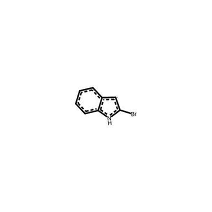 Brc1[c]c2ccccc2[nH]1